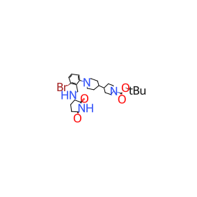 CC(C)(C)OC(=O)N1CCC(C2CCN(c3cccc(Br)c3CNC3CCC(=O)NC3=O)CC2)CC1